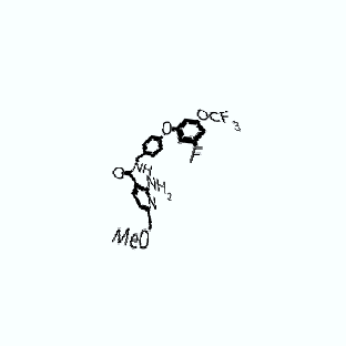 COCc1ccc(C(=O)NCc2ccc(Oc3cc(F)cc(OC(F)(F)F)c3)cc2)c(N)n1